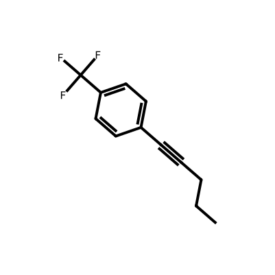 CCCC#Cc1ccc(C(F)(F)F)cc1